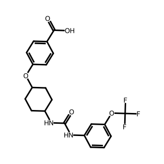 O=C(Nc1cccc(OC(F)(F)F)c1)NC1CCC(Oc2ccc(C(=O)O)cc2)CC1